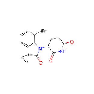 CC(C)c1cccc2c1N(C1CCC(=O)NC1=O)C(=O)C21CC1